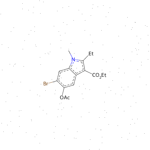 CCOC(=O)c1c(CC)n(C)c2cc(Br)c(OC(C)=O)cc12